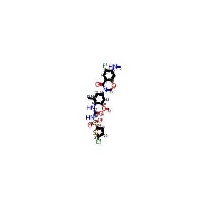 CNc1cc2c(cc1F)C(=O)N(c1cc(C)c(NC(=O)NS(=O)(=O)c3ccc(Cl)s3)c(OC)c1)CO2